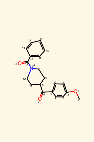 COc1ccc(C(=O)C2CCN(C(=O)c3ccccc3)CC2)cc1